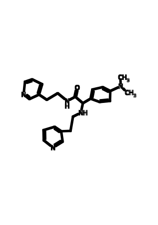 CN(C)c1ccc(C(NCCc2cccnc2)C(=O)NCCc2cccnc2)cc1